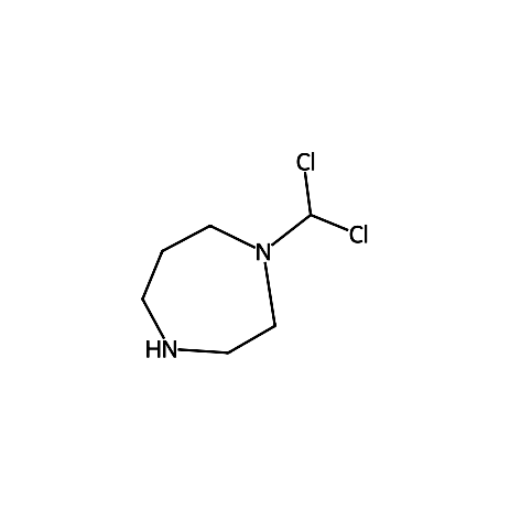 ClC(Cl)N1CCCNCC1